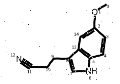 COc1ccc2[nH]cc(CCC#N)c2c1